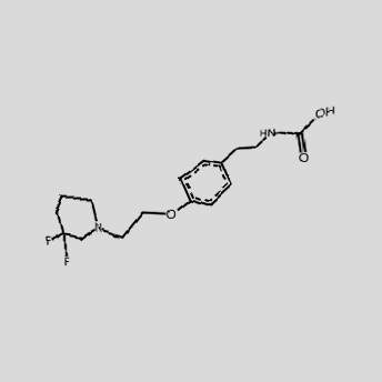 O=C(O)NCCc1ccc(OCCN2CCCC(F)(F)C2)cc1